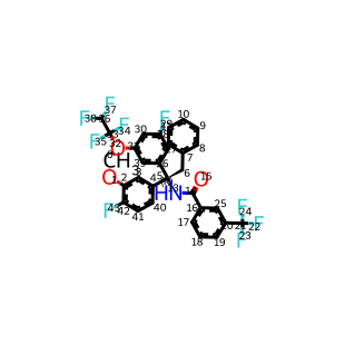 COc1cc([C@@](Cc2ccccc2)(NC(=O)c2cccc(C(F)(F)F)c2)c2cc(F)cc(OC(F)(F)C(F)F)c2)ccc1F